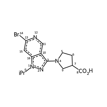 CC(C)n1nc(N2CCC(C(=O)O)C2)c2cnc(Br)cc21